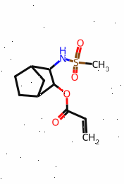 C=CC(=O)OC1C2CCC(C2)C1NS(C)(=O)=O